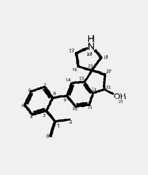 CC(C)c1ccccc1-c1ccc2c(c1)C1(CCNC1)CC2O